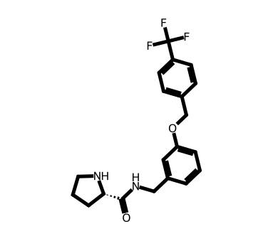 O=C(NCc1cccc(OCc2ccc(C(F)(F)F)cc2)c1)[C@@H]1CCCN1